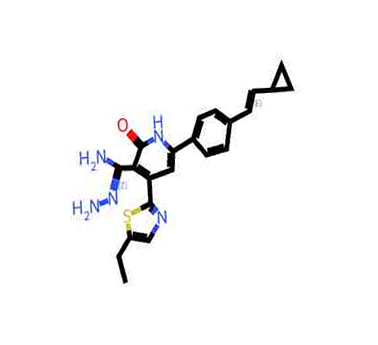 CCc1cnc(-c2cc(-c3ccc(/C=C/C4CC4)cc3)[nH]c(=O)c2/C(N)=N/N)s1